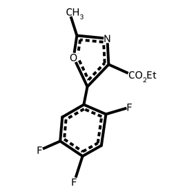 CCOC(=O)c1nc(C)oc1-c1cc(F)c(F)cc1F